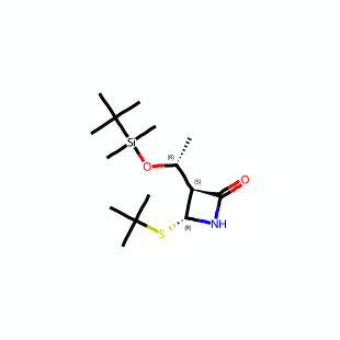 C[C@@H](O[Si](C)(C)C(C)(C)C)[C@H]1C(=O)N[C@@H]1SC(C)(C)C